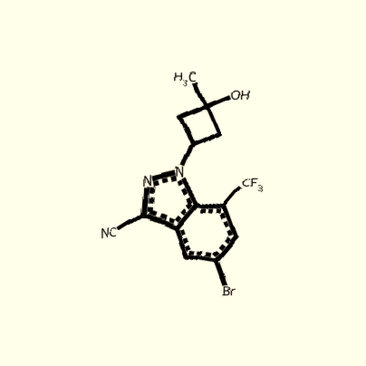 CC1(O)CC(n2nc(C#N)c3cc(Br)cc(C(F)(F)F)c32)C1